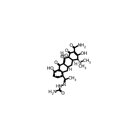 C/C(=N/NC(N)=O)c1ccc(O)c2c1C[C@@H]1C[C@@H]3C(N(C)C)C(O)=C(C(N)=O)C(=O)[C@]3(O)C(O)=C1C2=O